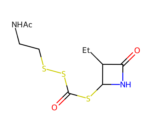 CCC1C(=O)NC1SC(=O)SSCCNC(C)=O